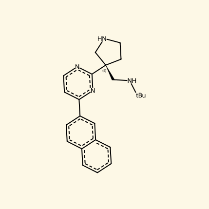 CC(C)(C)NC[C@]1(c2nccc(-c3ccc4ccccc4c3)n2)CCNC1